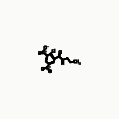 CCCNC(=O)c1cc([N+](=O)[O-])cc([N+](=O)[O-])c1Cl